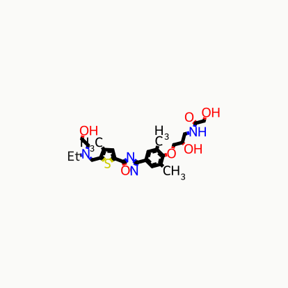 CCN(CCO)Cc1sc(-c2nc(-c3cc(C)c(OCC(O)CNC(=O)CO)c(C)c3)no2)cc1C